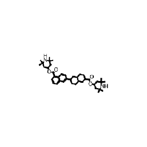 CC1(C)CC(OC(=O)c2cccc3cc(C4CCC5CC(C(=O)OC6CC(C)(C)NC(C)(C)C6)CCC5C4)ccc23)CC(C)(C)N1